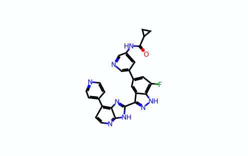 O=C(Nc1cncc(-c2cc(F)c3[nH]nc(-c4nc5c(-c6ccncc6)ccnc5[nH]4)c3c2)c1)C1CC1